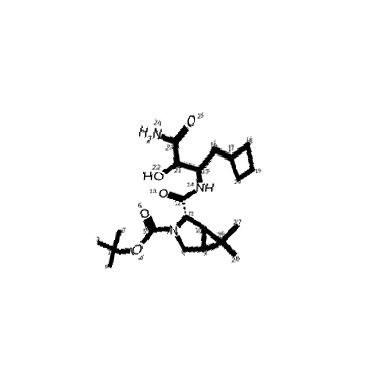 CC(C)(C)OC(=O)N1CC2C([C@H]1C(=O)NC(CC1CCC1)C(O)C(N)=O)C2(C)C